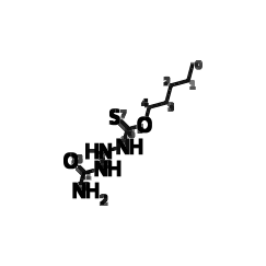 CCCCCOC(=S)NNNC(N)=O